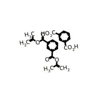 C=C(C)OC(=O)c1cccc(C(=O)OC(=C)C)c1.O=C(O)c1cccc(C(=O)O)c1